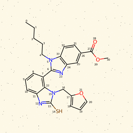 CCCCCn1c(-c2cccc3nc(S)n(Cc4ccco4)c23)nc2cc(C(=O)OC)ccc21